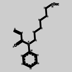 C=CC(=O)N(CCCCCCCCCCCCCCCC)c1ccccc1